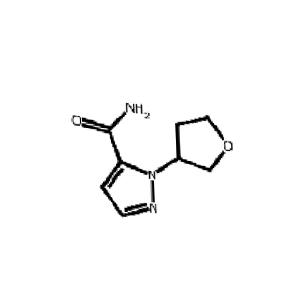 NC(=O)c1ccnn1C1CCOC1